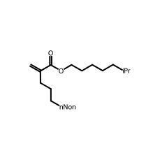 C=C(CCCCCCCCCCCC)C(=O)OCCCCCC(C)C